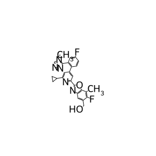 Cc1c(F)c(CO)cc2nc(-c3cc(-c4ccc(F)cc4-c4nncn4C)cc(C4CC4)n3)oc12